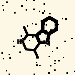 CC1CNC(C)c2c1oc1ccccc21